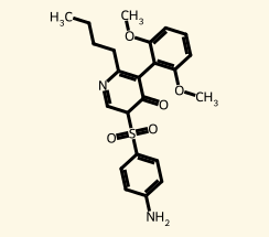 CCCCC1=C(c2c(OC)cccc2OC)C(=O)C(S(=O)(=O)c2ccc(N)cc2)C=N1